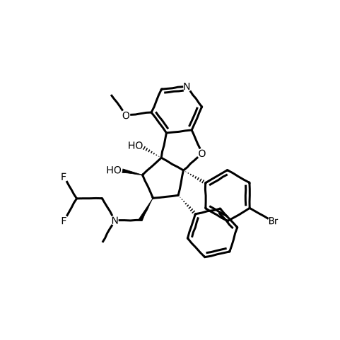 COc1cncc2c1[C@]1(O)[C@H](O)[C@H](CN(C)CC(F)F)[C@@H](c3ccccc3)[C@]1(c1ccc(Br)cc1)O2